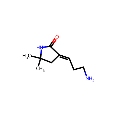 CC1(C)CC(=CCCN)C(=O)N1